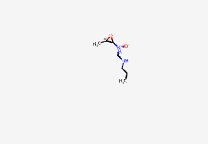 CCCNC[NH+]([O-])C1O[C@@H]1C